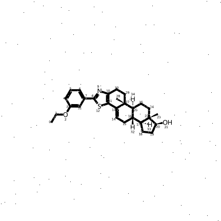 CCOc1cccc(-c2nc3c(s2)C2=CC[C@H]4[C@@H]5CC[C@H](O)[C@@]5(C)CC[C@@H]4[C@@]2(C)CC3)c1